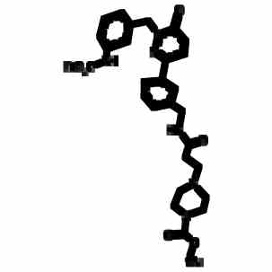 CCOC(=O)Nc1cccc(Cn2nc(-c3cccc(CNC(=O)CCN4CCN(C(=O)OC(C)(C)C)CC4)c3)ccc2=O)c1